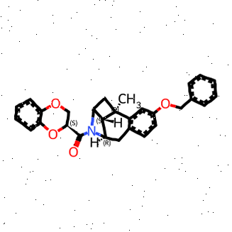 C[C@@]12CC3[C@H]1[C@@H](Cc1ccc(OCc4ccccc4)cc12)N3C(=O)[C@@H]1COc2ccccc2O1